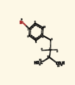 CC(C)(Cc1ccc(Br)cc1)C(C(=O)O)C(=O)O